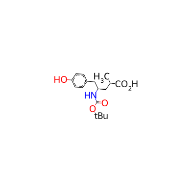 C[C@H](C[C@H](Cc1ccc(O)cc1)NC(=O)OC(C)(C)C)C(=O)O